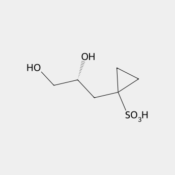 O=S(=O)(O)C1(C[C@@H](O)CO)CC1